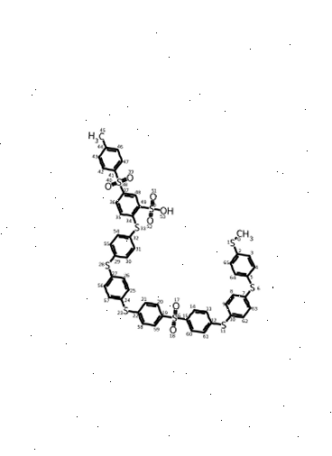 CSc1ccc(Sc2ccc(Sc3ccc(S(=O)(=O)c4ccc(Sc5ccc(Sc6ccc(Sc7ccc(S(=O)(=O)c8ccc(C)cc8)cc7S(=O)(=O)O)cc6)cc5)cc4)cc3)cc2)cc1